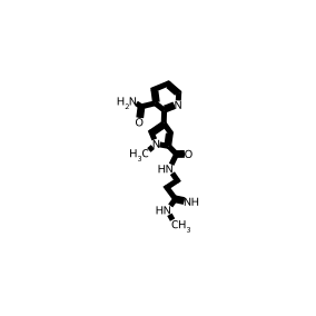 CNC(=N)CCNC(=O)c1cc(-c2ncccc2C(N)=O)cn1C